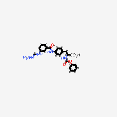 NN=CNc1cccc(C(=O)Nc2ccc(CC(NC(=O)Oc3ccccc3)C(=O)O)cc2)c1